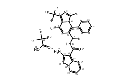 Cc1nc(C(F)(F)F)c2c(Cl)cc(C(C)NC(=O)c3c(N)nn4cccnc34)c(-c3ccccc3)n12.O=C(O)C(F)(F)F